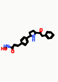 O=C(/C=C/c1ccc(C2CCC(C(=O)Cc3ccccc3)N2)cc1)NO